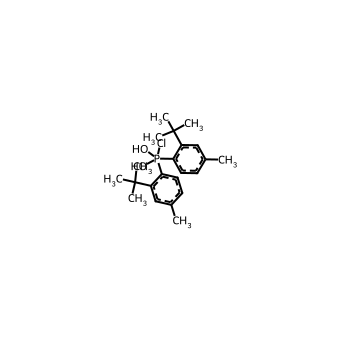 Cc1ccc(P(O)(O)(Cl)c2ccc(C)cc2C(C)(C)C)c(C(C)(C)C)c1